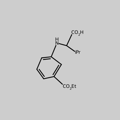 CCOC(=O)c1cccc(NC(C(=O)O)C(C)C)c1